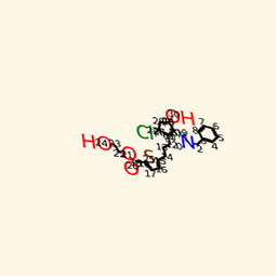 CN(Cc1ccccc1)C[C@@H]1[C@@H](CCCc2ccc(C(=O)OCCO)s2)[C@H](Cl)C[C@H]1O